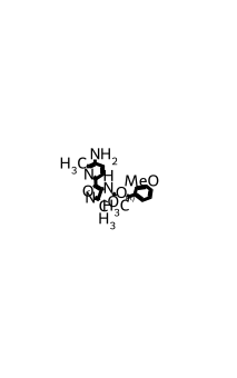 COc1ccccc1[C@@H](C)OC(=O)Nc1c(C)noc1-c1ccc(N)c(C)n1